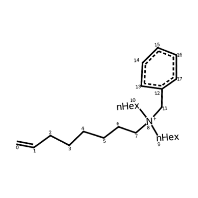 C=CCCCCCC[N+](CCCCCC)(CCCCCC)Cc1ccccc1